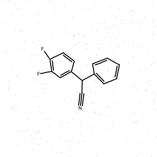 N#CC(c1ccccc1)c1ccc(F)c(F)c1